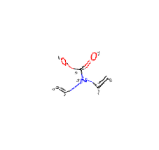 C=CN(C=C)C([O])=O